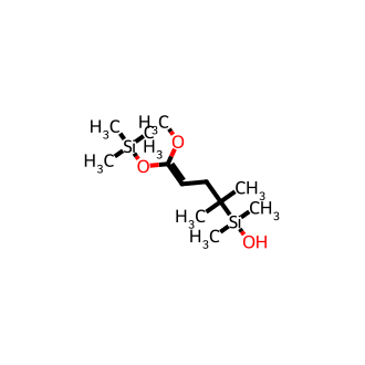 CO/C(=C\CC(C)(C)[Si](C)(C)O)O[Si](C)(C)C